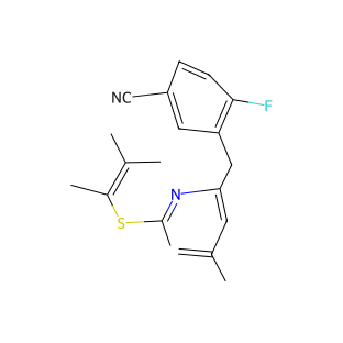 C=C(C)/C=C(Cc1cc(C#N)ccc1F)\N=C(/C)SC(C)=C(C)C